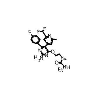 CCNC(=O)N(C)CCOc1nc(N)nc(-c2ccc(F)cc2)c1-c1cc(C)nc(C(F)F)c1